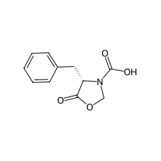 O=C1OCN(C(=O)O)[C@H]1Cc1ccccc1